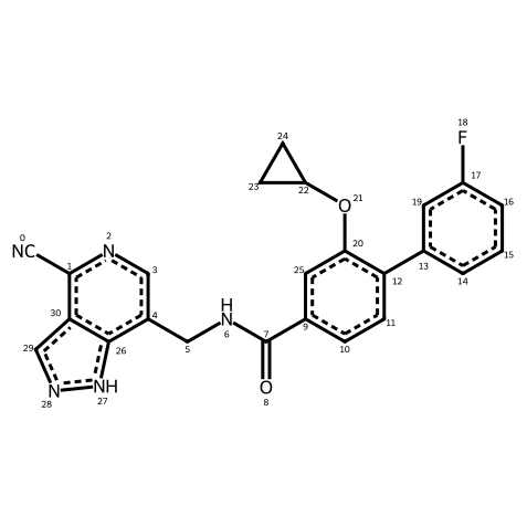 N#Cc1ncc(CNC(=O)c2ccc(-c3cccc(F)c3)c(OC3CC3)c2)c2[nH]ncc12